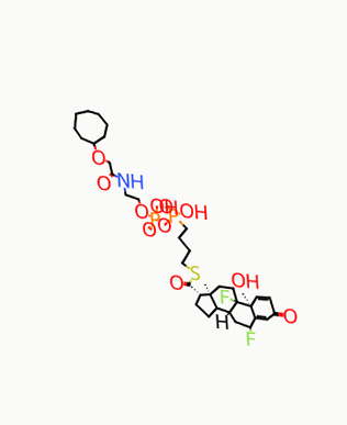 C[C@]12C[C@H](O)[C@@]3(F)[C@@H](C[C@H](F)C4=CC(=O)C=C[C@@]43C)C1CC[C@@H]2C(=O)SCCCCP(=O)(O)OP(=O)(O)OCCNC(=O)COC1CCCCCCC1